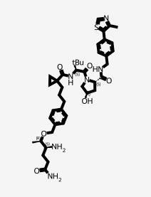 Cc1ncsc1-c1ccc(CNC(=O)[C@@H]2C[C@@H](O)CN2C(=O)[C@@H](NC(=O)C2(CCCc3ccc(CO[C@H](C)[C@@H](N)CCC(N)=O)cc3)CC2)C(C)(C)C)cc1